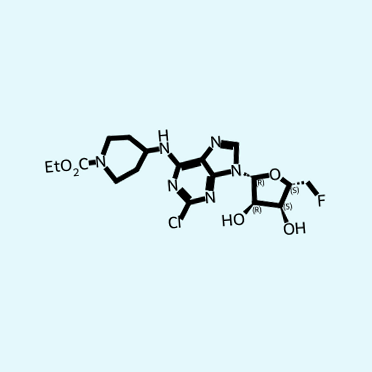 CCOC(=O)N1CCC(Nc2nc(Cl)nc3c2ncn3[C@@H]2O[C@H](CF)[C@@H](O)[C@H]2O)CC1